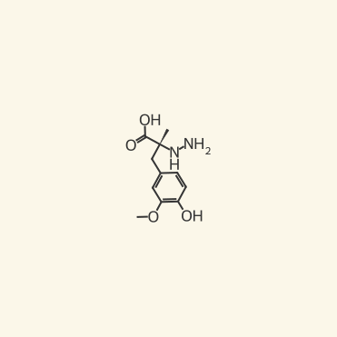 COc1cc(C[C@@](C)(NN)C(=O)O)ccc1O